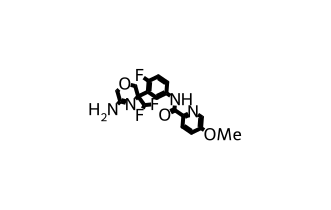 COc1ccc(C(=O)Nc2ccc(F)c(C3(C(F)F)COCC(N)=N3)c2)nc1